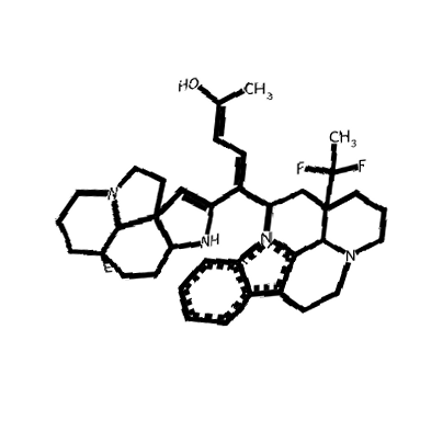 CCC12CCCN3CCC4(C=C(/C(=C\C=C(/C)O)C5CC6(C(C)(F)F)CCCN7CCc8c(n5c5ccccc85)C76)NC4CC1)C32